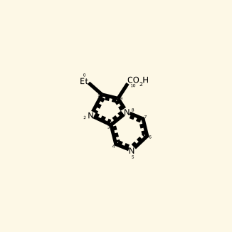 CCc1nc2cnccn2c1C(=O)O